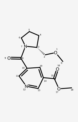 COC[C@H]1CCCN1C(=O)c1cncc(C(=O)OC)c1